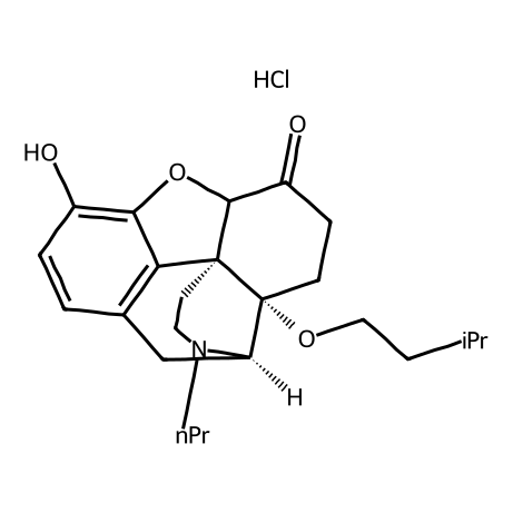 CCCN1CC[C@]23c4c5ccc(O)c4OC2C(=O)CC[C@@]3(OCCC(C)C)[C@H]1C5.Cl